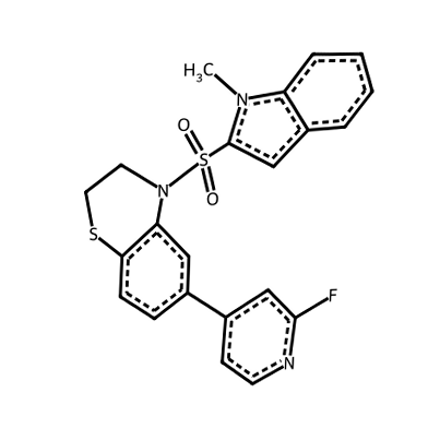 Cn1c(S(=O)(=O)N2CCSc3ccc(-c4ccnc(F)c4)cc32)cc2ccccc21